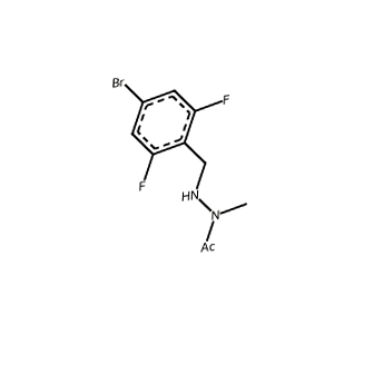 CC(=O)N(C)NCc1c(F)cc(Br)cc1F